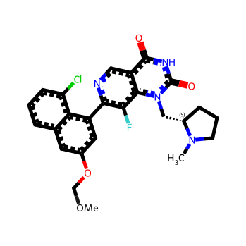 COCOc1cc(-c2ncc3c(=O)[nH]c(=O)n(C[C@@H]4CCCN4C)c3c2F)c2c(Cl)cccc2c1